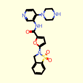 O=C(Nc1cnccc1N1CCNCC1)c1ccc(N2Cc3ccccc3S2(=O)=O)o1